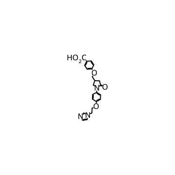 O=C(O)c1ccc(OCC2CC(=O)N(c3ccc(OCCn4ccnc4)cc3)C2)cc1